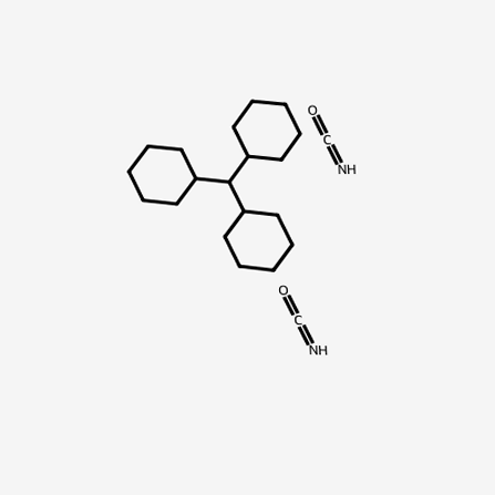 C1CCC(C(C2CCCCC2)C2CCCCC2)CC1.N=C=O.N=C=O